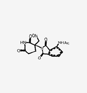 CC(=O)Nc1cccc2c1C(=O)N(C1(CN=O)CCC(=O)NC1=O)C2=O